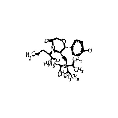 CCCC(C(=O)O)N1C(=O)CO[C@H](c2ccc(Cl)cc2)[C@@H]1C#C[Si](C(C)C)(C(C)C)C(C)C